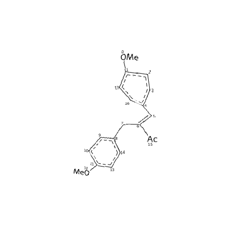 COc1ccc(C=C(Cc2ccc(OC)cc2)C(C)=O)cc1